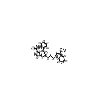 N#Cc1cn(CCC[C@@H](Cn2cnc(C(N)=O)c2)OCc2ccccc2)c2ccccc12